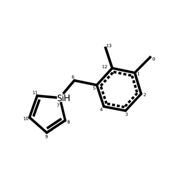 Cc1cccc(C[SiH]2C=CC=C2)c1C